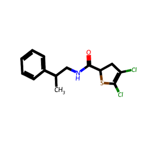 CC(CNC(=O)C1CC(Cl)=C(Cl)S1)c1ccccc1